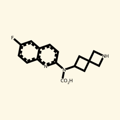 O=C(O)N(c1ccc2cc(F)ccc2n1)C1CC2(CNC2)C1